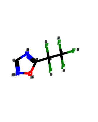 FC(F)(F)C(F)(F)c1n[c]no1